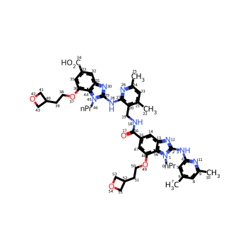 CCCn1c(Nc2cc(C)cc(C)n2)nc2cc(C(=O)NCc3c(C)cc(C)nc3Nc3nc4cc(C(=O)O)cc(OCCC5COC5)c4n3CCC)cc(OCCC3COC3)c21